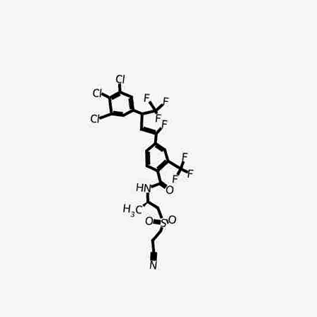 C[C@H](CS(=O)(=O)CCC#N)NC(=O)c1ccc(/C(F)=C/C(c2cc(Cl)c(Cl)c(Cl)c2)C(F)(F)F)cc1C(F)(F)F